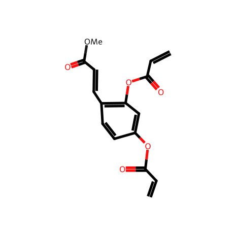 C=CC(=O)Oc1ccc(/C=C/C(=O)OC)c(OC(=O)C=C)c1